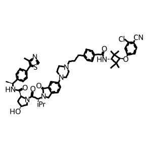 Cc1ncsc1-c1ccc([C@H](C)NC(=O)[C@@H]2C[C@@H](O)CN2C(=O)[C@@H](C(C)C)N2Cc3ccc(N4CCN(CCCc5ccc(C(=O)N[C@H]6C(C)(C)[C@H](Oc7ccc(C#N)c(Cl)c7)C6(C)C)cc5)CC4)cc3C2=O)cc1